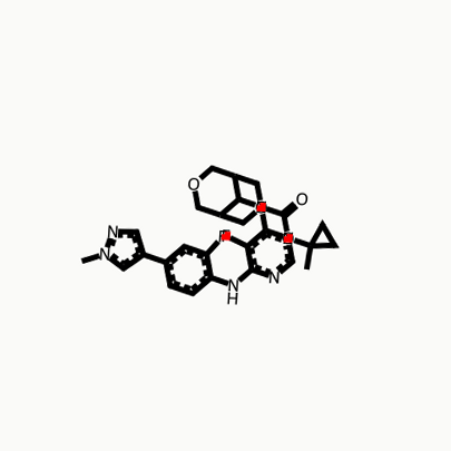 Cn1cc(-c2ccc(Nc3ncnc(OC4C5COCC4CN(C(=O)OC4(C)CC4)C5)c3F)c(F)c2)cn1